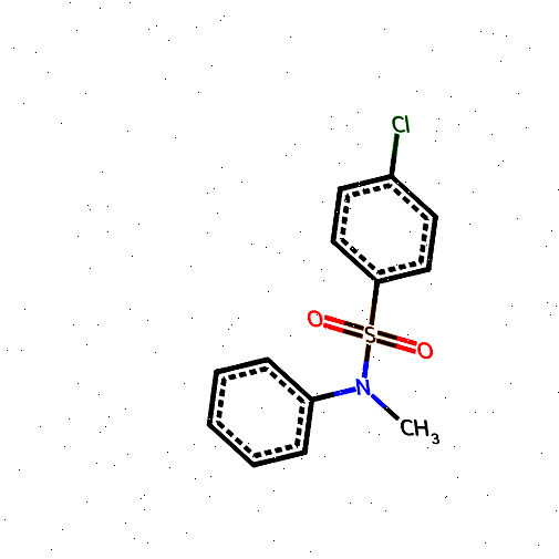 CN(c1ccccc1)S(=O)(=O)c1ccc(Cl)cc1